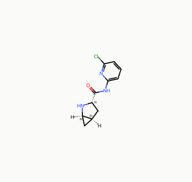 O=C(Nc1cccc(Cl)n1)[C@@H]1C[C@H]2C[C@H]2N1